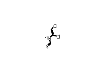 S=CNC(Cl)=CCl